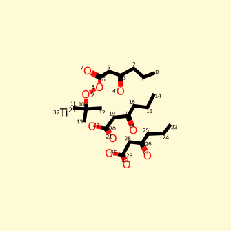 CCCC(=O)CC(=O)OOC(C)(C)C.CCCC(=O)CC(=O)[O-].CCCC(=O)CC(=O)[O-].[Ti+2]